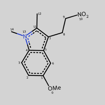 COc1ccc2c(c1)c(CC[N+](=O)[O-])c(C)n2C